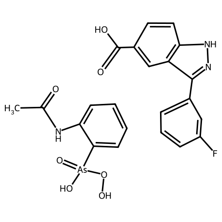 CC(=O)Nc1ccccc1[As](=O)(O)OO.O=C(O)c1ccc2[nH]nc(-c3cccc(F)c3)c2c1